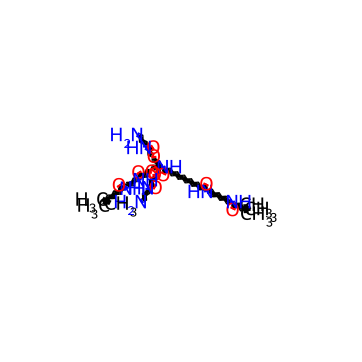 CC(C)(C)/C=C/C(=O)NCCCCCCNC(=O)CCCCCCCCCCC(=O)NC(CCOCC(=O)NCCCN)(COCCC(=O)NCCCN)COCCC(=O)NCCCNC(=O)CCCCC(C)(C)C